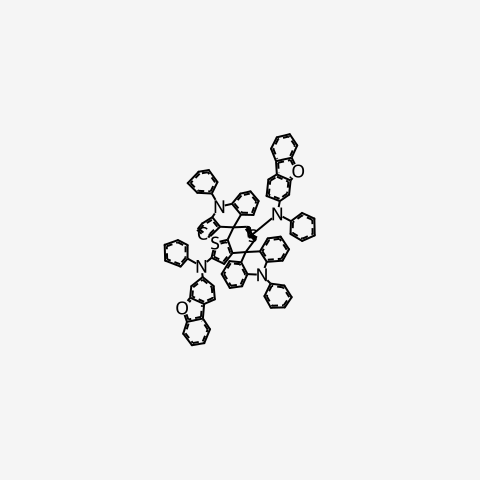 c1ccc(N(c2ccc3c(c2)oc2ccccc23)c2cc3c(s2)C2(c4ccccc4N(c4ccccc4)c4ccccc42)c2cc(N(c4ccccc4)c4ccc5c(c4)oc4ccccc45)sc2C32c3ccccc3N(c3ccccc3)c3ccccc32)cc1